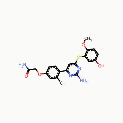 COc1ccc(O)cc1Sc1cc(-c2ccc(OCC(N)=O)cc2C)nc(N)n1